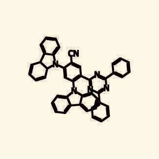 N#Cc1cc(-c2nc(-c3ccccc3)nc(-c3ccccc3)n2)c(-n2c3ccccc3c3ccccc32)cc1N1c2ccccc2C2C=CC=CC21